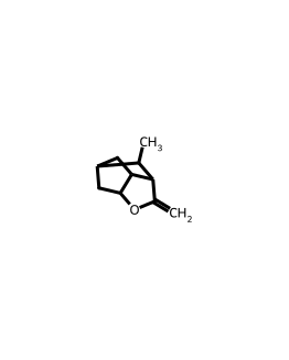 C=C1OC2CC3CC2C1C3C